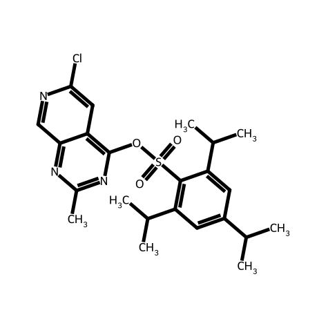 Cc1nc(OS(=O)(=O)c2c(C(C)C)cc(C(C)C)cc2C(C)C)c2cc(Cl)ncc2n1